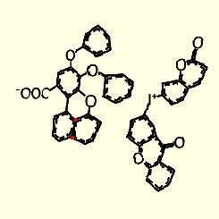 O=C([O-])c1cc(Oc2ccccc2)c(Oc2ccccc2)c(Oc2ccccc2)c1-c1ccccc1.O=c1ccc2ccc([I+]c3ccc4oc5ccccc5c(=O)c4c3)cc2o1